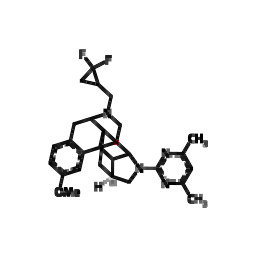 COc1ccc2c(c1)C13CCN(CC4CC4(F)F)C(C2)C12CCC1C3[C@@H](CN1c1nc(C)cc(C)n1)C2